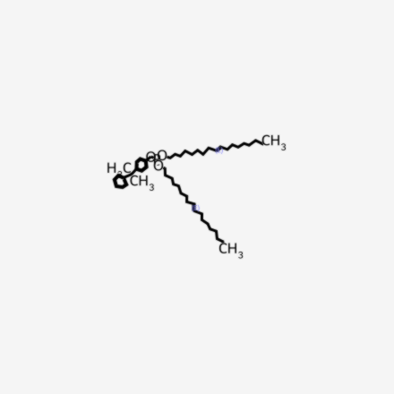 CCCCCCCC/C=C/CCCCCCCCOP(OCCCCCCCC/C=C/CCCCCCCC)Oc1ccc(C(C)(C)c2ccccc2)cc1